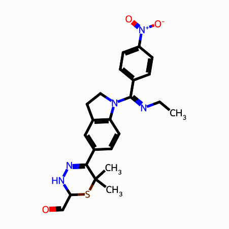 CCN=C(c1ccc([N+](=O)[O-])cc1)N1CCc2cc(C3=NNC(C=O)SC3(C)C)ccc21